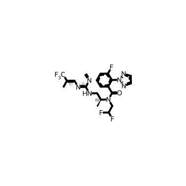 C=N/C(=N\C=C(/C)C(F)(F)F)NC[C@H](C)N(CC(F)F)C(=O)c1cccc(F)c1-n1nccn1